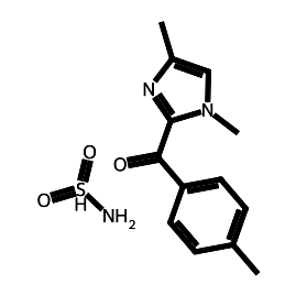 Cc1ccc(C(=O)c2nc(C)cn2C)cc1.N[SH](=O)=O